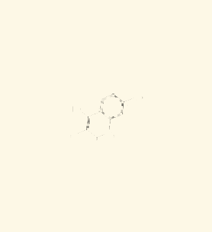 OC1=C(F)COc2cc(Cl)ccc21